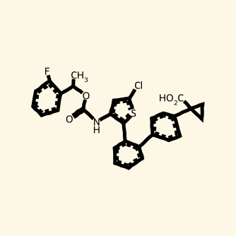 CC(OC(=O)Nc1cc(Cl)sc1-c1ccccc1-c1ccc(C2(C(=O)O)CC2)cc1)c1ccccc1F